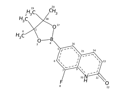 CC1(C)OB(c2cc(F)c3[nH]c(=O)ccc3c2)OC1(C)C